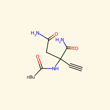 C#CC(CC(N)=O)(NC(=O)CCCC)C(N)=O